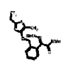 CNC(=O)/C(=N/OC)c1ccccc1COc1nc(CC(F)(F)F)sc1C